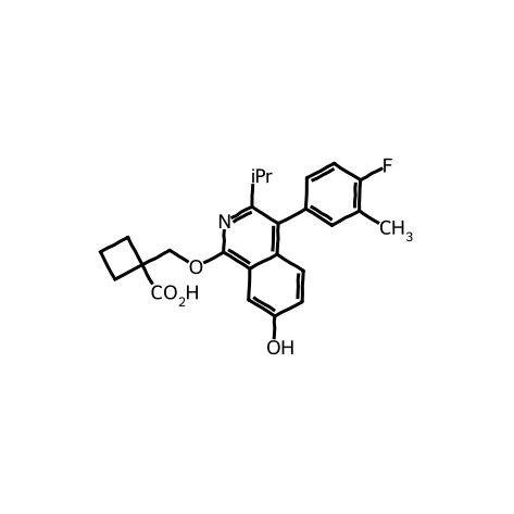 Cc1cc(-c2c(C(C)C)nc(OCC3(C(=O)O)CCC3)c3cc(O)ccc23)ccc1F